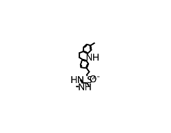 CNC(=N)C(C)[S+]([O-])CCc1ccc2c(c1)Nc1cc(C)ccc1CC2